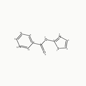 O=C(Oc1nccs1)c1cccnc1